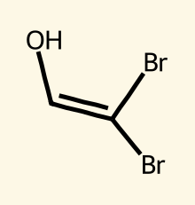 OC=C(Br)Br